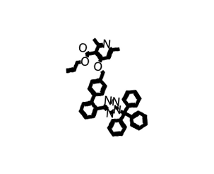 C=CCOC(=O)c1c(OCc2ccc(-c3ccccc3-c3nnn(C(c4ccccc4)(c4ccccc4)c4ccccc4)n3)cc2)cc(C)nc1C